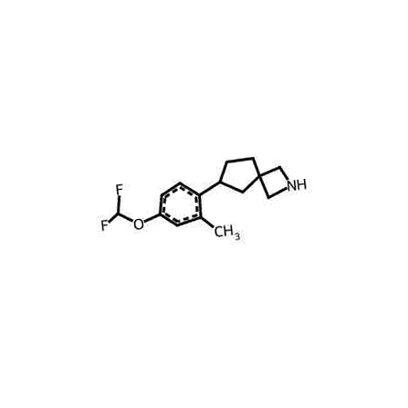 Cc1cc(OC(F)F)ccc1C1CCC2(CNC2)C1